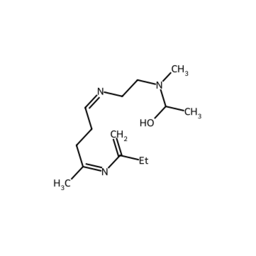 C=C(CC)/N=C(/C)CC/C=N\CCN(C)C(C)O